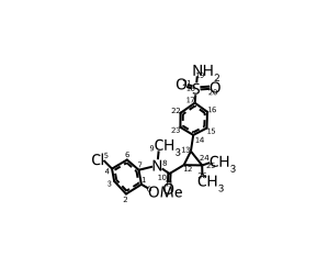 COc1ccc(Cl)cc1N(C)C(=O)C1C(c2ccc(S(N)(=O)=O)cc2)C1(C)C